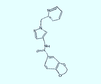 O=C(Nc1cnn(Cc2ccccn2)c1)c1ccc2c(c1)OCO2